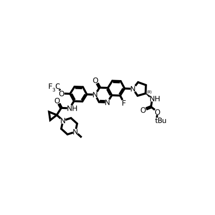 CN1CCN(C2(C(=O)Nc3cc(-n4cnc5c(F)c(N6CC[C@@H](NC(=O)OC(C)(C)C)C6)ccc5c4=O)ccc3OC(F)(F)F)CC2)CC1